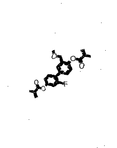 C=C(C)C(=O)Oc1ccc(-c2ccc(OC(=O)C(=C)C)c(COC)c2)c(F)c1